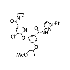 CCn1ccc(NC(=O)c2cc(Oc3ncc(C(=O)N4CCC4)cc3Cl)cc(O[C@@H](C)COC)c2)n1